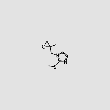 CSc1nccn1CC1(C)CO1